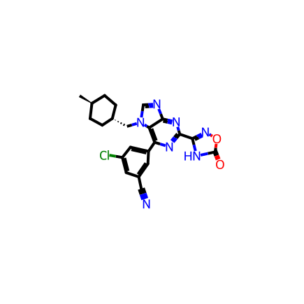 C[C@H]1CC[C@H](Cn2cnc3nc(-c4noc(=O)[nH]4)nc(-c4cc(Cl)cc(C#N)c4)c32)CC1